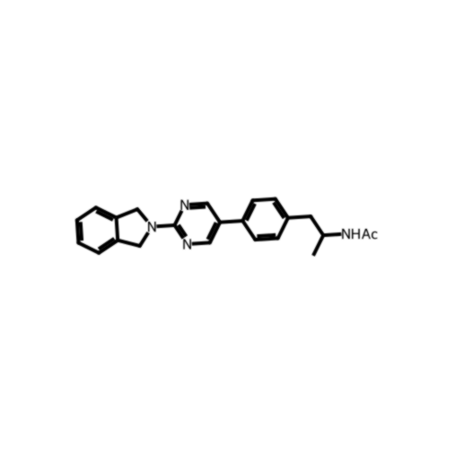 CC(=O)NC(C)Cc1ccc(-c2cnc(N3Cc4ccccc4C3)nc2)cc1